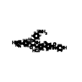 Cc1cc(C(=O)NC2CCNCC2)ccc1-c1ccc(C[C@H](NC(=O)[C@H]2CC[C@H](CN)CC2)C(=O)Nc2ccc(-c3nn[nH]n3)cc2)cc1.Cl